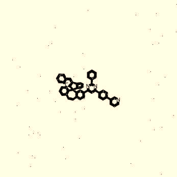 C1=Cc2ccc(-c3cc(-c4ccc(-c5cccnc5)cc4)nc(-c4ccccc4)n3)cc2C2(c3ccccc31)c1ccccc1-c1cc3ccccc3cc12